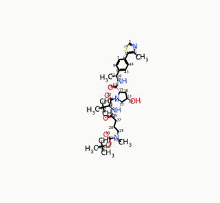 Cc1ncsc1-c1ccc([C@H](C)NC(=O)[C@@H]2C[C@@H](O)CN2C(=O)[C@@H](NC(=O)CCCN(C)C(=O)OC(C)(C)C)C(C)(C)C)cc1